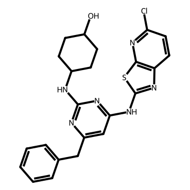 OC1CCC(Nc2nc(Cc3ccccc3)cc(Nc3nc4ccc(Cl)nc4s3)n2)CC1